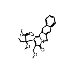 CCC(OC)(C(=O)OC)c1cc2n(c(=O)c1COC)Cc1cc3ccccc3cc1-2